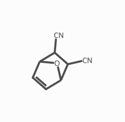 N#CC1C2C=CC(O2)C1C#N